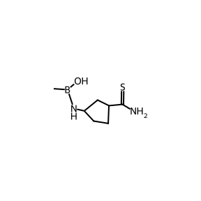 CB(O)NC1CCC(C(N)=S)C1